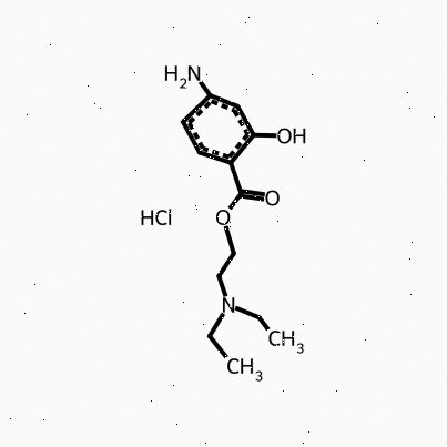 CCN(CC)CCOC(=O)c1ccc(N)cc1O.Cl